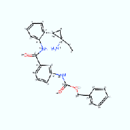 CC[C@]1(N)C[C@H]1c1ccccc1NC(=O)c1cccc(NC(=O)OCc2ccccc2)c1